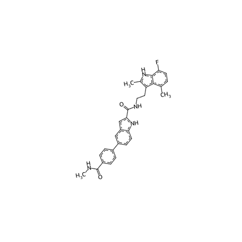 CNC(=O)c1ccc(-c2ccc3[nH]c(C(=O)NCCc4c(C)[nH]c5c(F)ccc(C)c45)cc3c2)cc1